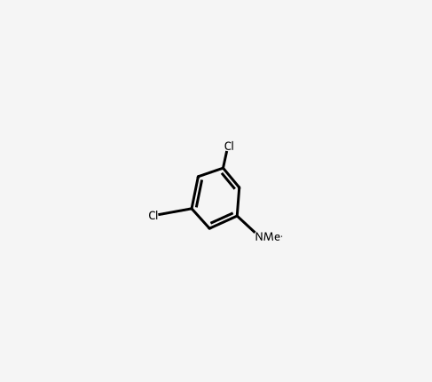 C[N]c1cc(Cl)cc(Cl)c1